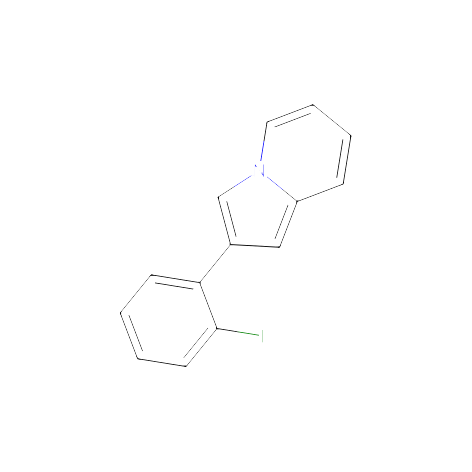 Fc1ccccc1-c1cc2ccccn2c1